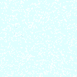 O=C(OCc1cn(Cc2ccc3c(c2)C(=O)c2ccccc2C3=O)nn1)c1ccccc1